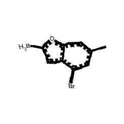 Bc1cc2c(Br)cc(C)cc2o1